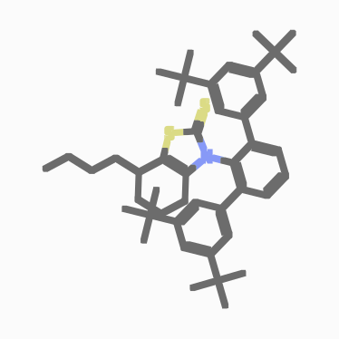 CCCCC1CCCc2c1sc(=S)n2-c1c(-c2cc(C(C)(C)C)cc(C(C)(C)C)c2)cccc1-c1cc(C(C)(C)C)cc(C(C)(C)C)c1